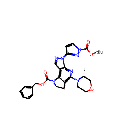 C[C@@H]1COCCN1c1nc2c(cnn2-c2ccn(C(=O)OC(C)(C)C)n2)c2c1CCN2C(=O)OCc1ccccc1